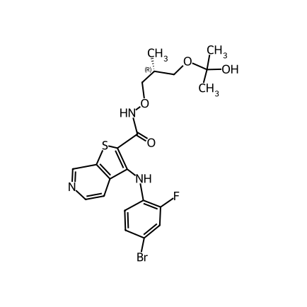 C[C@@H](CONC(=O)c1sc2cnccc2c1Nc1ccc(Br)cc1F)COC(C)(C)O